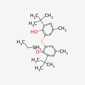 CC[SiH2]Oc1c(Sc2cc(C)cc(C(C)(C)C)c2O)cc(C)cc1C(C)(C)C